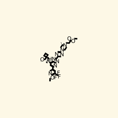 CCOC(=O)CCN1CCN(c2cnc(-c3nc4nc(-c5cnc(OCC)c(C(F)(F)F)c5)cc(N(C)CC5(COC)CCC5)c4[nH]3)cn2)C[C@@H]1C